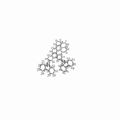 c1ccc2c(c1)ccc1cccc(-c3ccc(-c4ccc(-n5c6ccccc6c6ccccc65)cc4)c(-c4ccc(-n5c6ccccc6c6ccccc65)cc4)c3)c12